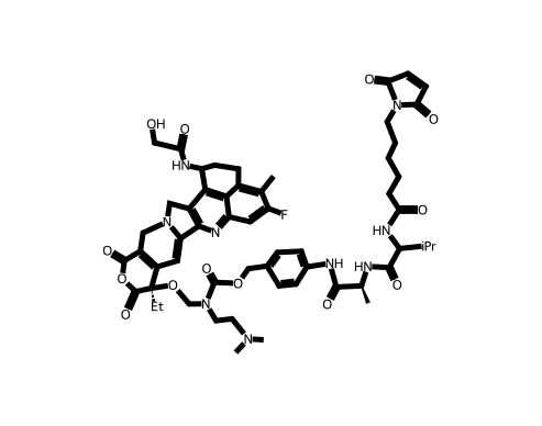 CC[C@]1(OCN(CCN(C)C)C(=O)OCc2ccc(NC(=O)[C@H](C)NC(=O)C(NC(=O)CCCCCN3C(=O)C=CC3=O)C(C)C)cc2)C(=O)OC(=O)C2=C1C=C1c3nc4cc(F)c(C)c5c4c(c3CN1C2)C(NC(=O)CO)CC5